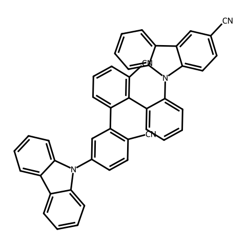 N#Cc1ccc2c(c1)c1ccccc1n2-c1ccccc1-c1c(C#N)cccc1-c1cc(-n2c3ccccc3c3ccccc32)ccc1C#N